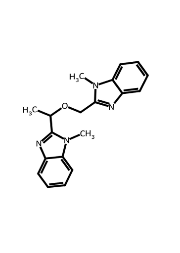 CC(OCc1nc2ccccc2n1C)c1nc2ccccc2n1C